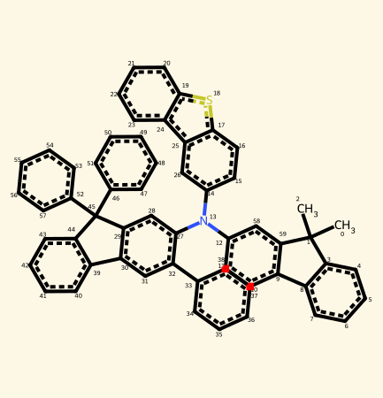 CC1(C)c2ccccc2-c2ccc(N(c3ccc4sc5ccccc5c4c3)c3cc4c(cc3-c3ccccc3)-c3ccccc3C4(c3ccccc3)c3ccccc3)cc21